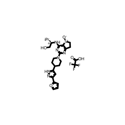 CC(C)[C@H](CO)Nc1nc(N2CCC(c3cc(-c4ccco4)n[nH]3)CC2)nc2c1[S+]([O-])CC2.O=C(O)C(F)(F)F